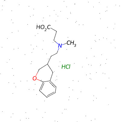 CN(CCC(=O)O)CCC1COc2ccccc2C1.Cl